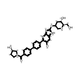 O=C(c1ccc(-c2ccc(-c3nc4nc(OC5CO[C@H](CO)[C@@H](O)C5)[nH]c4cc3Cl)cc2)cc1)N1CC[C@@H](O)C1